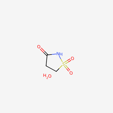 O.O=C1CCS(=O)(=O)N1